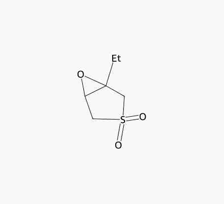 CCC12CS(=O)(=O)CC1O2